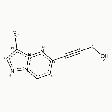 OCC#Cc1ccn2ncc(Br)c2n1